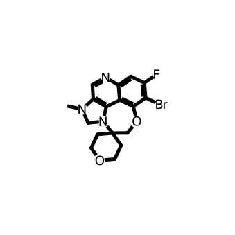 CN1CN2c3c1cnc1cc(F)c(Br)c(c31)OCC21CCOCC1